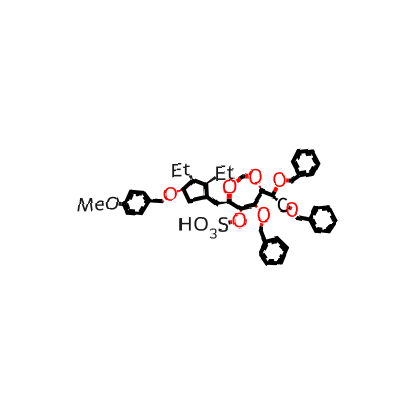 CC[C@H]1[C@H](OCc2ccc(OC)cc2)CC(C[C@H]2OCO[C@H]([C@H](COCc3ccccc3)OCc3ccccc3)[C@@H](OCc3ccccc3)[C@@H]2OS(=O)(=O)O)[C@@H]1CC